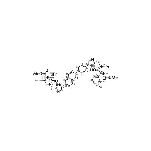 C#CCCN(Cc1ncc(-c2ccc3cc(-c4ccc(C5CN=C(CN(CCC)C(O)C(NC(=O)OC)c6cccc(C)c6)N5)cc4)ccc3c2)[nH]1)C(=O)[C@@H](NC(=O)OC)C(C)C